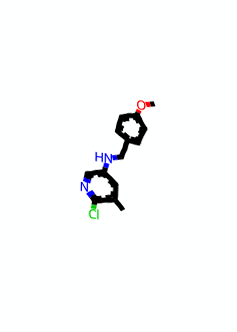 COc1ccc(CNc2cnc(Cl)c(C)c2)cc1